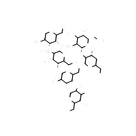 CC(=O)NC1C(O)[C@H](O)[C@H](CO)O[C@H]1OC1[C@@H](OCC2O[C@@H](O[C@@H]3C(CO)O[C@@H](O[C@@H]4C(CO)O[C@@H](C)C(NC(C)=O)[C@H]4O)C(NC(C)=O)[C@H]3O)C(O)[C@@H](O[C@H]3OC(CO)[C@@H](O)C(O)C3O)[C@@H]2O)OC(CO)[C@@H](O)[C@@H]1O